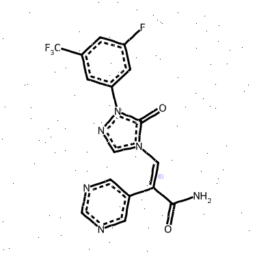 NC(=O)/C(=C/n1cnn(-c2cc(F)cc(C(F)(F)F)c2)c1=O)c1cncnc1